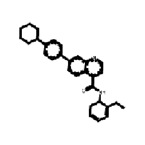 CCC1=CC=CCC1NC(=O)c1ccnc2cc(-c3ccc(C4CCCCC4)cc3)ccc12